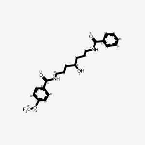 O=C(NCCCC(O)CCCNC(=O)c1ccc(OC(F)(F)F)cc1)c1ccccc1